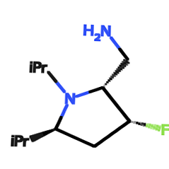 CC(C)[C@@H]1C[C@@H](F)[C@@H](CN)N1C(C)C